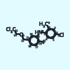 Cc1cc(Cl)ccc1Nc1cc(COCC(Cl)(Cl)Cl)ccc1F